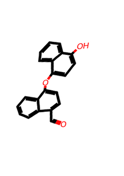 O=Cc1ccc(Oc2ccc(O)c3ccccc23)c2ccccc12